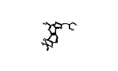 Nc1nc2c3c(ccc2c2nc(CC(CCl)CCl)nn12)OC(F)(F)O3